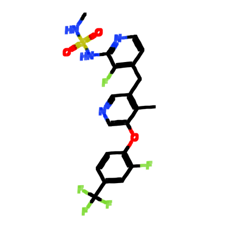 CNS(=O)(=O)Nc1nccc(Cc2cncc(Oc3ccc(C(F)(F)F)cc3F)c2C)c1F